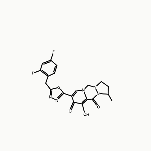 CC1CCN2Cn3cc(-c4nnc(Cc5ccc(F)cc5F)s4)c(=O)c(O)c3C(=O)N12